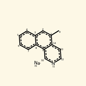 Cc1cc2ccccc2c2cnccc12.[Na]